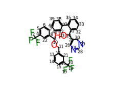 FC(F)(F)c1cccc(COCc2cccc(C(F)(F)F)c2)c1.OC(c1cncnc1)c1ccccc1-c1ccccc1